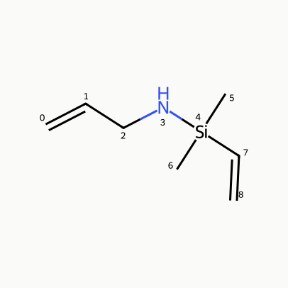 C=CCN[Si](C)(C)C=C